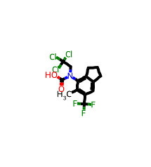 Cc1c(C(F)(F)F)cc2c(c1N(CC(Cl)(Cl)Cl)C(=O)O)CCC2